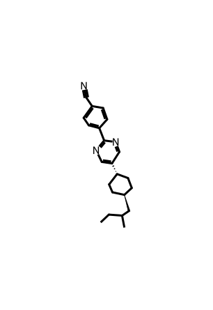 CCC(C)C[C@H]1CC[C@H](c2cnc(-c3ccc(C#N)cc3)nc2)CC1